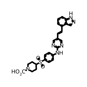 O=C(O)N1CCC(S(=O)(=O)c2ccc(Nc3ncc(C=Cc4cccc5[nH]ncc45)cn3)cc2)CC1